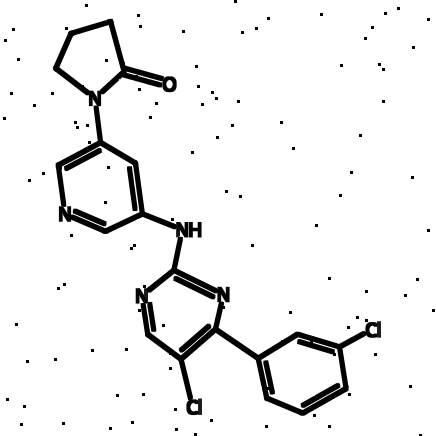 O=C1CCCN1c1cncc(Nc2ncc(Cl)c(-c3cccc(Cl)c3)n2)c1